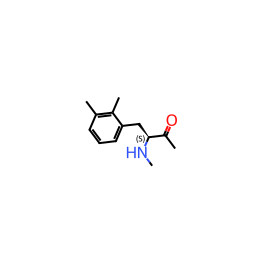 CN[C@@H](Cc1cccc(C)c1C)C(C)=O